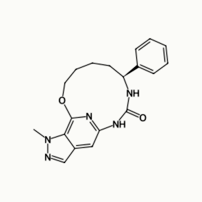 Cn1ncc2cc3nc(c21)OCCCC[C@@H](c1ccccc1)NC(=O)N3